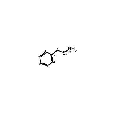 NSCc1ccccc1